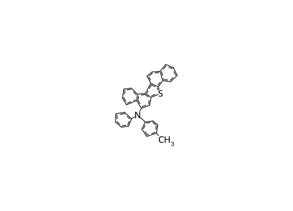 Cc1ccc(N(c2ccccc2)c2cc3sc4c5ccccc5ccc4c3c3ccccc23)cc1